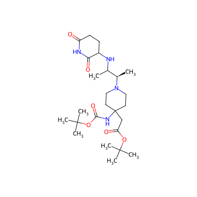 CC(NC1CCC(=O)NC1=O)[C@@H](C)N1CCC(CC(=O)OC(C)(C)C)(NC(=O)OC(C)(C)C)CC1